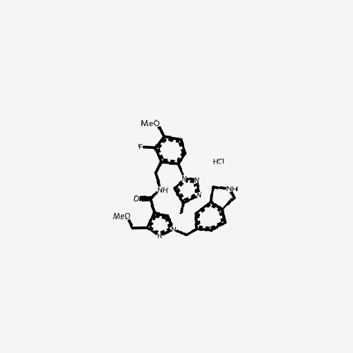 COCc1nn(Cc2ccc3c(c2)CNC3)cc1C(=O)NCc1c(-n2cc(C)nn2)ccc(OC)c1F.Cl